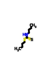 CCCCNC(=S)SCCCC.[Ti]